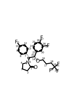 O=C1CCCN1[C@H](c1ccc(F)cc1)[C@@H](OCCCC(F)(F)F)c1ccc(F)c(F)c1